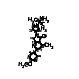 COc1ncc(-c2cc(C)c3c(n2)CN(c2cnn(C(C)(C)N)c2)C3=O)cn1